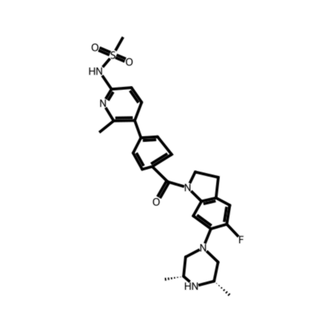 Cc1nc(NS(C)(=O)=O)ccc1-c1ccc(C(=O)N2CCc3cc(F)c(N4C[C@@H](C)N[C@@H](C)C4)cc32)cc1